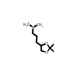 CN(C)CCCC1COC(I)(I)O1